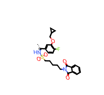 C[C@@H](NS(=O)(=O)CCCCCN1C(=O)c2ccccc2C1=O)c1ccc(F)c(OCC2CC2)c1